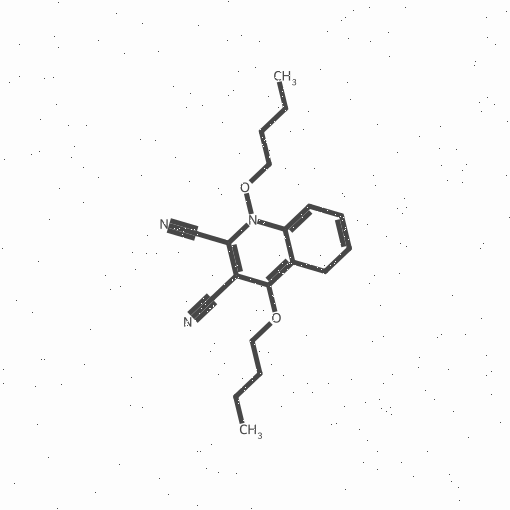 CCCCOC1=C2CC=CC=C2N(OCCCC)C(C#N)=C1C#N